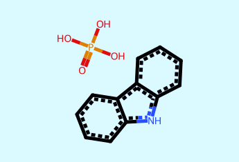 O=P(O)(O)O.c1ccc2c(c1)[nH]c1ccccc12